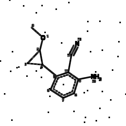 COC1CC1c1cccc(N)c1C#N